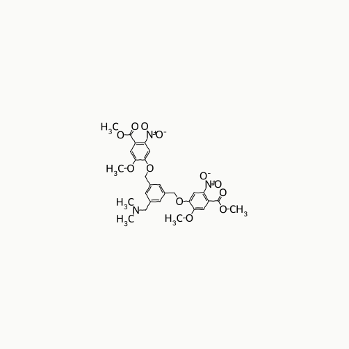 COC(=O)c1cc(OC)c(OCc2cc(COc3cc([N+](=O)[O-])c(C(=O)OC)cc3OC)cc(CN(C)C)c2)cc1[N+](=O)[O-]